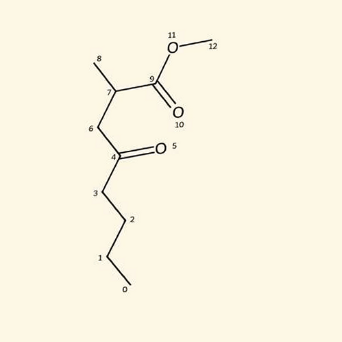 CCCCC(=O)CC(C)C(=O)OC